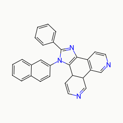 C1=CC2c3c(nc(-c4ccccc4)n3-c3ccc4ccccc4c3)-c3ccncc3C2C=N1